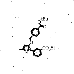 CCOC(=O)c1cccc(-n2nc(C)cc2OCc2ccc(C(=O)OC(C)(C)C)cc2)c1